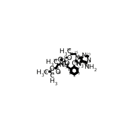 Cc1ccccc1CO[P@@](=O)(CO[C@H](C)Cn1cnc2c(N)ncnc21)N[C@@H](C)C(=O)OC(C)C